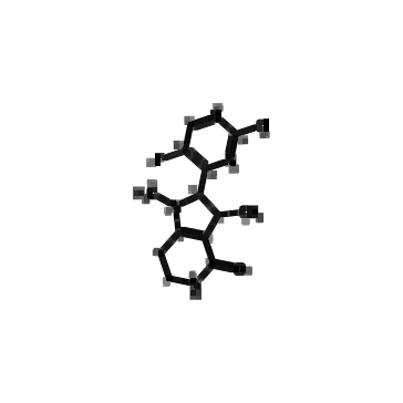 CC1C2=C(CCNC2=O)N(C)C1c1nc(Cl)ncc1F